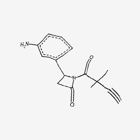 C#CC(C)(C)C(=O)N1C(=O)CC1c1cccc(N)c1